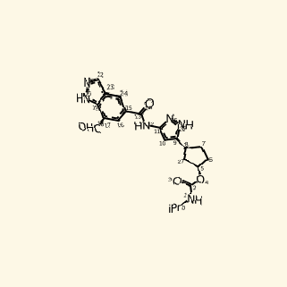 CC(C)NC(=O)O[C@@H]1CC[C@H](c2cc(NC(=O)c3cc(C=O)c4[nH]ncc4c3)n[nH]2)C1